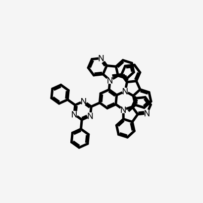 Cc1cccc2c3cccc(C)c3n(-c3c(-n4c5ccccc5c5ncccc54)cc(-c4nc(-c5ccccc5)nc(-c5ccccc5)n4)cc3-n3c4ccccc4c4ncccc43)c12